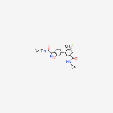 Cc1c(F)cc(C(=O)NC2CC2)cc1-c1ccc2c(C(=O)NCC3CC3)noc2c1